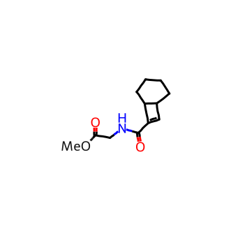 COC(=O)CNC(=O)C1=CC2CCCCC12